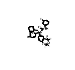 O=C(Nc1cccc(F)c1)N[C@@](Cc1ccccc1)(c1ccc2c(c1)C(F)(F)OC(F)(F)O2)c1ccc(I)cn1